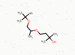 CCCC(C)(C)OCC(C)OCCC(C)(C)O